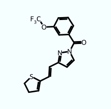 O=C(c1cccc(OC(F)(F)F)c1)n1ccc(/C=C/C2=CCCS2)n1